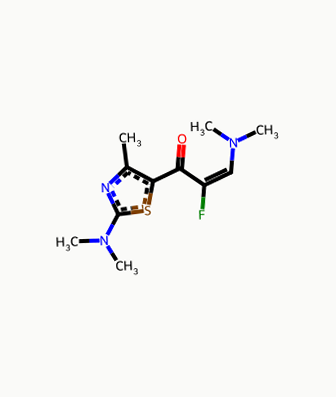 Cc1nc(N(C)C)sc1C(=O)/C(F)=C\N(C)C